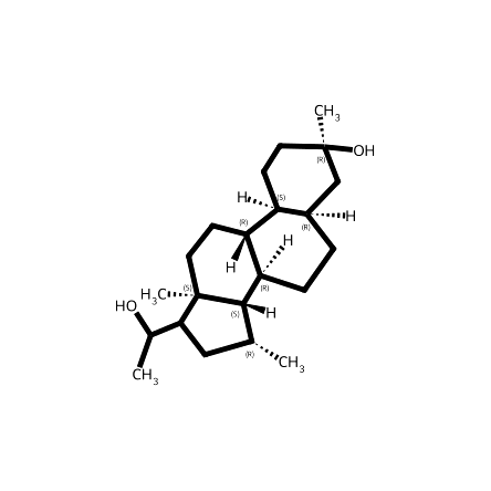 CC(O)C1C[C@@H](C)[C@H]2[C@@H]3CC[C@@H]4C[C@](C)(O)CC[C@@H]4[C@H]3CC[C@]12C